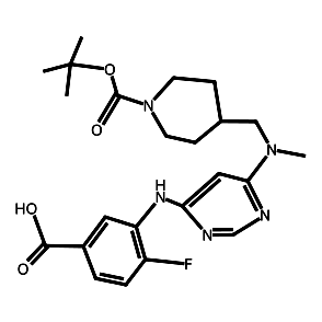 CN(CC1CCN(C(=O)OC(C)(C)C)CC1)c1cc(Nc2cc(C(=O)O)ccc2F)ncn1